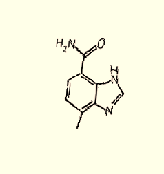 Cc1ccc(C(N)=O)c2[nH]cnc12